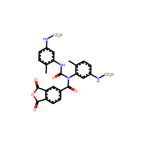 Cc1ccc(NC(=O)O)cc1NC(=O)N(C(=O)c1ccc2c(c1)C(=O)OC2=O)c1cc(NC(=O)O)ccc1C